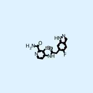 CC(C)(C)c1c(NC(=O)Cc2cc3[nH]ncc3cc2F)ccnc1C(N)=O